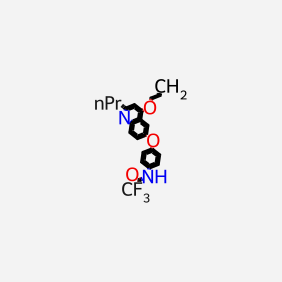 C=CCOc1cc(CCC)nc2ccc(Oc3ccc(NC(=O)C(F)(F)F)cc3)cc12